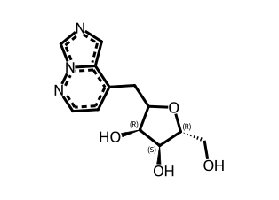 OC[C@H]1OC(Cc2ccnn3cncc23)[C@H](O)[C@@H]1O